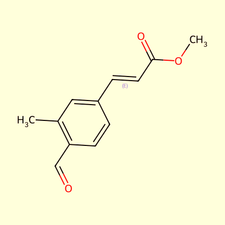 COC(=O)/C=C/c1ccc(C=O)c(C)c1